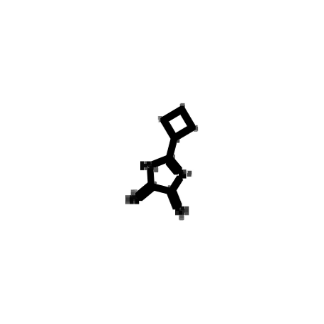 N=C1N=C(C2CCC2)NC1=N